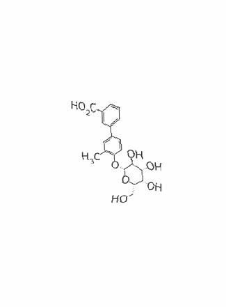 Cc1cc(-c2cccc(C(=O)O)c2)ccc1O[C@H]1O[C@@H](CO)[C@@H](O)[C@@H](O)[C@@H]1O